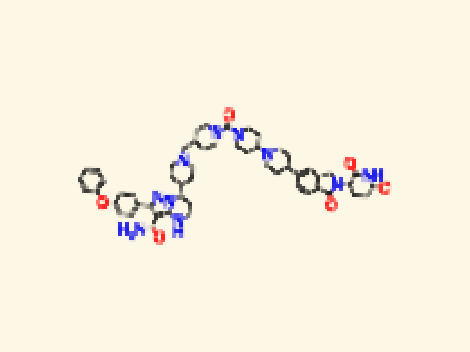 NC(=O)c1c(-c2ccc(Oc3ccccc3)cc2)nn2c1NCCC2C1CCN(CC2CCN(C(=O)N3CCC(N4CCC(c5ccc6c(c5)CN(C5CCC(=O)NC5=O)C6=O)CC4)CC3)CC2)CC1